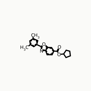 Cc1cc(C)cc(-c2nc3ccc(C(=O)OC4CCCC4)cc3o2)c1